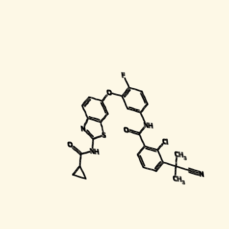 CC(C)(C#N)c1cccc(C(=O)Nc2ccc(F)c(Oc3ccc4nc(NC(=O)C5CC5)sc4c3)c2)c1Cl